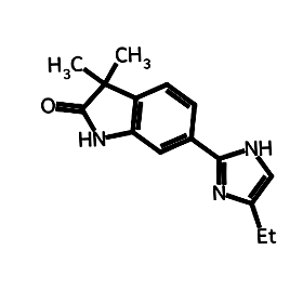 CCc1c[nH]c(-c2ccc3c(c2)NC(=O)C3(C)C)n1